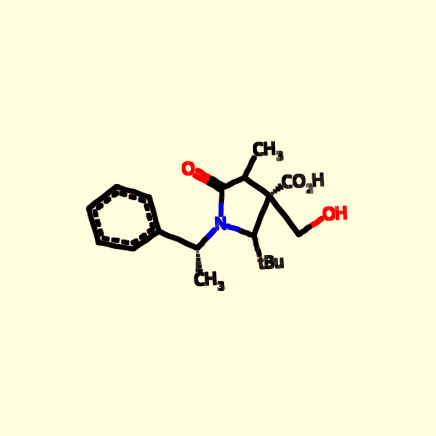 CC1C(=O)N([C@H](C)c2ccccc2)C(C(C)(C)C)[C@@]1(CO)C(=O)O